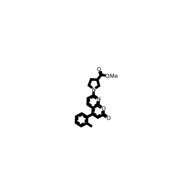 COC(=O)C1CCN(c2ccc3c(-c4ccccc4C)cc(=O)oc3n2)C1